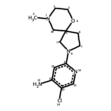 CN1CCOC2(CCN(c3cc(N)c(Cl)cn3)C2)C1